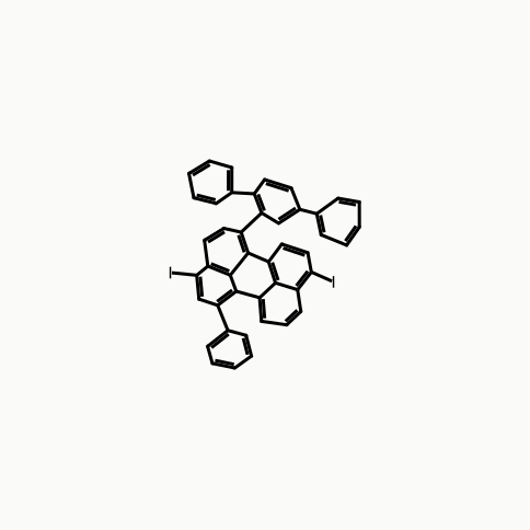 Ic1ccc2c3c(-c4cc(-c5ccccc5)ccc4-c4ccccc4)ccc4c(I)cc(-c5ccccc5)c(c5cccc1c52)c43